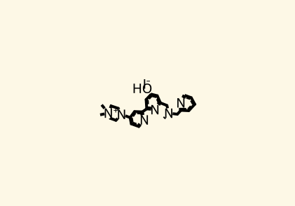 CN(Cc1ccccn1)Cc1cc(O)cc(-c2cc(N3CC[N+](C)(C)CC3)ccn2)n1.[I-]